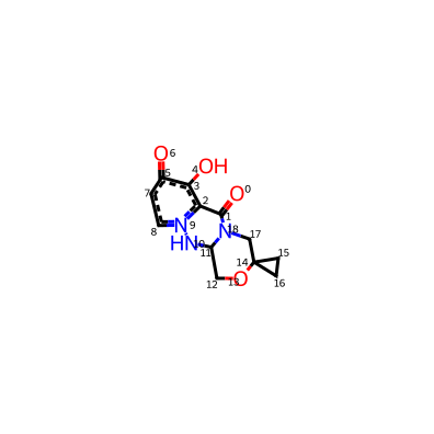 O=C1c2c(O)c(=O)ccn2NC2COC3(CC3)CN12